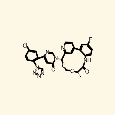 C[C@@H]1CCC[C@H](n2cnc(-c3cc(Cl)ccc3-n3cnnn3)cc2=O)c2cc(ccn2)-c2cc(F)ccc2NC1=O